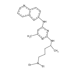 CCN(CC)CCCC(C)Nc1nc(C)cc(Nc2ccc3ncccc3c2)n1